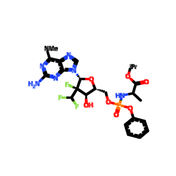 CNc1nc(N)nc2c1ncn2[C@@H]1O[C@H](COP(=O)(NC(C)C(=O)OC(C)C)Oc2ccccc2)[C@@H](O)[C@]1(F)C(F)F